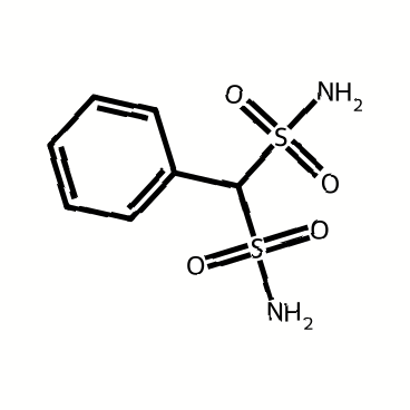 NS(=O)(=O)C(c1ccccc1)S(N)(=O)=O